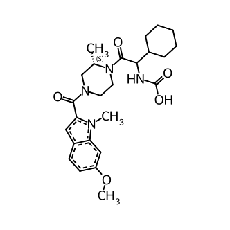 COc1ccc2cc(C(=O)N3CCN(C(=O)C(NC(=O)O)C4CCCCC4)[C@@H](C)C3)n(C)c2c1